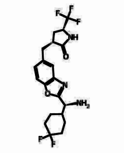 N[C@H](c1nc2cc(C[C@H]3C[C@@H](C(F)(F)F)NC3=O)ccc2o1)C1CCC(F)(F)CC1